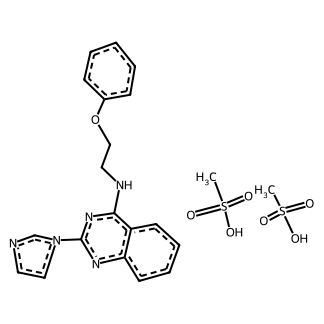 CS(=O)(=O)O.CS(=O)(=O)O.c1ccc(OCCNc2nc(-n3ccnc3)nc3ccccc23)cc1